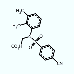 Cc1cccc(N(CC(=O)O)S(=O)(=O)c2ccc(C#N)cc2)c1C